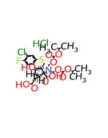 CC(C)OC(=O)OCN(COC(=O)OC(C)C)[C@]1(C(=O)O)[C@@H]2[C@@H](C(=O)O)[C@@H]2[C@H](O)[C@H]1CSc1ccc(F)c(Cl)c1.Cl